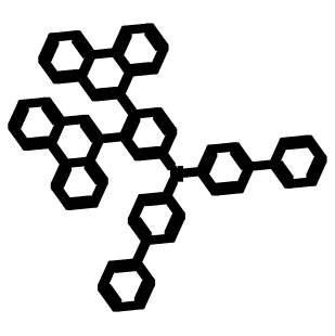 c1ccc(-c2ccc(N(c3ccc(-c4ccccc4)cc3)c3ccc(-c4cc5ccccc5c5ccccc45)c(-c4cc5ccccc5c5ccccc45)c3)cc2)cc1